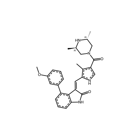 COc1cccc(-c2cccc3c2C(=Cc2[nH]cc(C(=O)N4C[C@@H](C)N[C@H](C)C4)c2C)C(=O)N3)c1